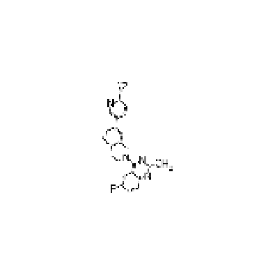 Cc1nc(N2CCc3ncc(-c4ccc(C5CC5)nc4)cc3C2)c2cc(F)ccc2n1